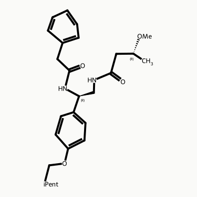 CCCC(C)COc1ccc([C@H](CNC(=O)C[C@@H](C)OC)NC(=O)Cc2ccccc2)cc1